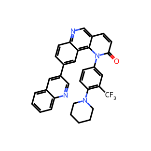 O=c1ccc2cnc3ccc(-c4cnc5ccccc5c4)cc3c2n1-c1ccc(N2CCCCC2)c(C(F)(F)F)c1